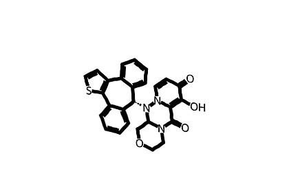 O=C1c2c(O)c(=O)ccn2N([C@H]2c3ccccc3-c3ccsc3-c3ccccc32)C2COCCN12